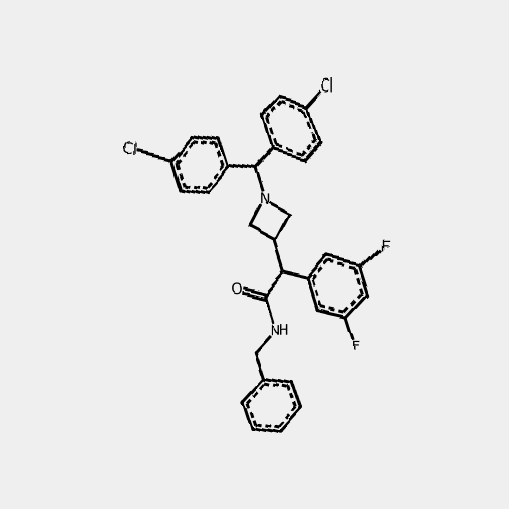 O=C(NCc1ccccc1)C(c1cc(F)cc(F)c1)C1CN(C(c2ccc(Cl)cc2)c2ccc(Cl)cc2)C1